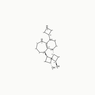 O[C@H]1C[C@H](N2CCCNC3=C2N([C@H]2C[C@H](O)C2)CCN3C2CNC2)C1